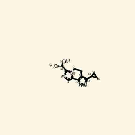 O[C@@H](c1ncc2n1CCc1c-2noc1C1CC1)C(F)(F)F